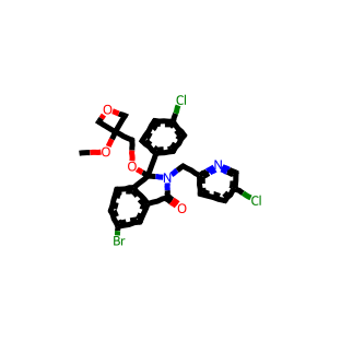 COC1(COC2(c3ccc(Cl)cc3)c3ccc(Br)cc3C(=O)N2Cc2ccc(Cl)cn2)COC1